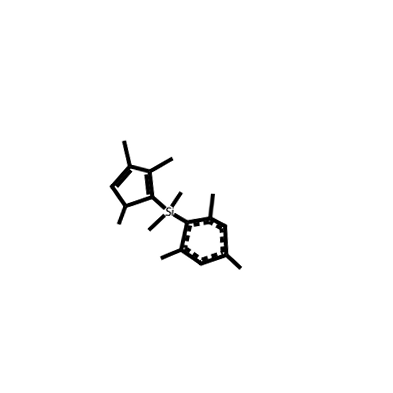 CC1=CC(C)C([Si](C)(C)c2c(C)cc(C)cc2C)=C1C